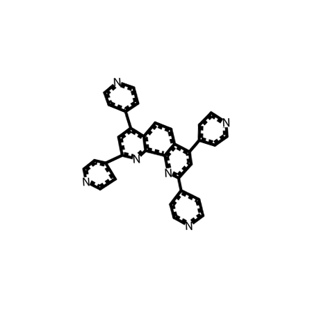 c1cc(-c2cc(-c3ccncc3)c3ccc4c(-c5ccncc5)cc(-c5ccncc5)nc4c3n2)ccn1